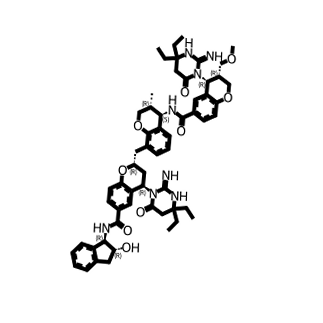 CCC1(CC)CC(=O)N([C@@H]2C[C@@H](Cc3cccc4c3OC[C@H](C)[C@@H]4NC(=O)c3ccc4c(c3)[C@H](N3C(=N)NC(CC)(CC)CC3=O)[C@H](COC)CO4)Oc3ccc(C(=O)N[C@@H]4c5ccccc5C[C@H]4O)cc32)C(=N)N1